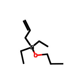 C=CC[Si](CC)(CC)OCCC